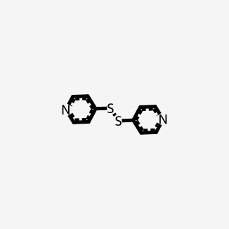 c1cc(SSc2ccncc2)ccn1